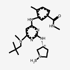 BN1CC[C@@H](Nc2nc(Nc3cc(C(=O)NC)ccc3C)cc(N(C)CC(C)(C)C)n2)C1